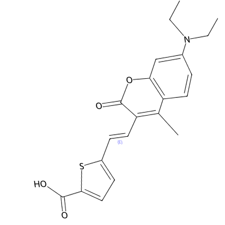 CCN(CC)c1ccc2c(C)c(/C=C/c3ccc(C(=O)O)s3)c(=O)oc2c1